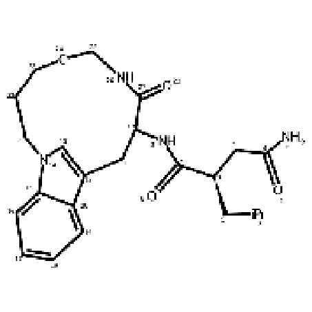 CC(C)C[C@H](CC(N)=O)C(=O)NC1Cc2cn(c3ccccc23)CCCCCNC1=O